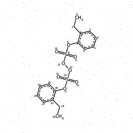 CCc1ccccc1OS(=O)(=O)OOS(=O)(=O)Oc1ccccc1CC